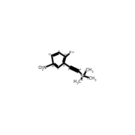 C[Si](C)(C)C#Cc1cc([N+](=O)[O-])ccc1F